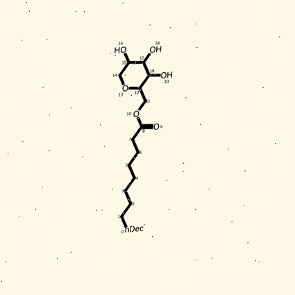 CCCCCCCCCCCCCCCCCC(=O)OCC1OCC(O)C(O)C1O